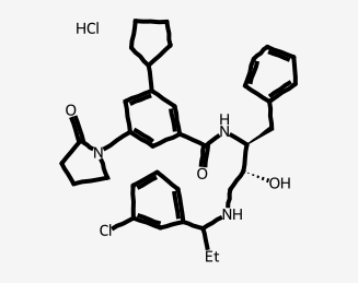 CCC(NC[C@@H](O)[C@H](Cc1ccccc1)NC(=O)c1cc(C2CCCC2)cc(N2CCCC2=O)c1)c1cccc(Cl)c1.Cl